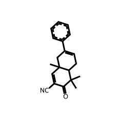 CC12C=C(C#N)C(=O)C(C)(C)C1CC=C(c1ccccc1)C2